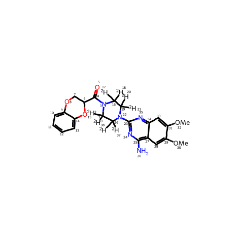 [2H]C1([2H])N(C(=O)C2COc3ccccc3O2)C([2H])([2H])C([2H])([2H])N(c2nc(N)c3cc(OC)c(OC)cc3n2)C1([2H])[2H]